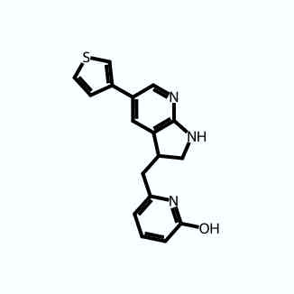 Oc1cccc(CC2CNc3ncc(-c4ccsc4)cc32)n1